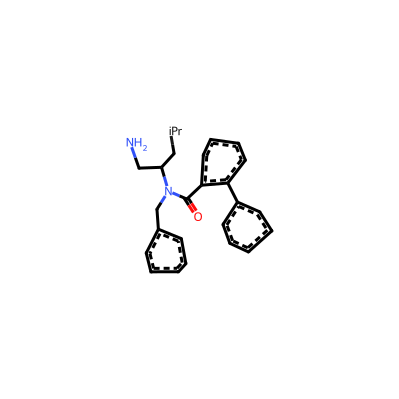 CC(C)CC(CN)N(Cc1ccccc1)C(=O)c1ccccc1-c1ccccc1